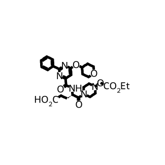 CCOC(=O)ON1CCN(C(=O)[C@H](CCC(=O)O)NC(=O)c2cc(OC3CCOCC3)nc(-c3ccccc3)n2)CC1